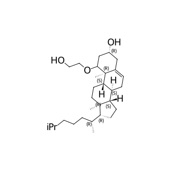 CC(C)CCC[C@@H](C)[C@H]1CC[C@H]2[C@@H]3CC=C4C[C@@H](O)CC(OCCO)[C@]4(C)[C@H]3CC[C@]12C